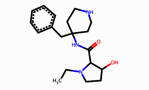 CCN1CCC(O)C1C(=O)NC1(Cc2ccccc2)CCNCC1